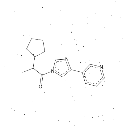 CC(C(=O)n1cnc(-c2cccnc2)c1)C1CCCC1